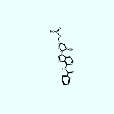 O=C(Nc1ncnc2c1ncn2[C@@H]1O[C@H](CO[P](=O)O)C[C@H]1O)c1ccccc1